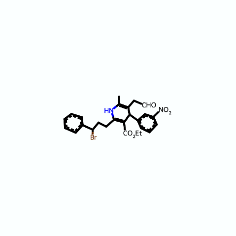 CCOC(=O)C1=C(CCC(Br)c2ccccc2)NC(C)=C(CC=O)C1c1cccc([N+](=O)[O-])c1